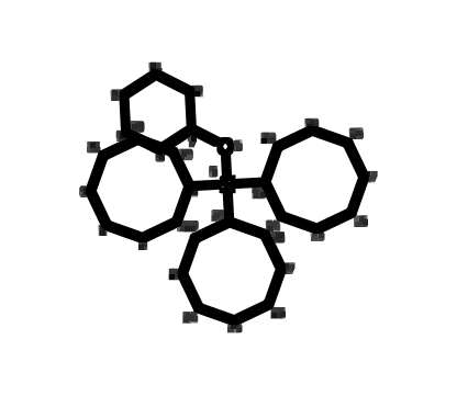 C1CCCC([Si](OC2CCCCC2)(C2CCCCCCC2)C2CCCCCCC2)CCC1